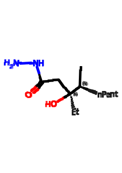 CCCCC[C@H](C)[C@](O)(CC)CC(=O)NN